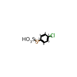 O=S(=O)(O)Sc1ccc(Cl)cc1